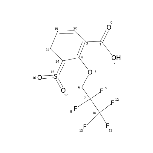 O=C(O)C1=C(OCC(F)(F)C(F)(F)F)C(=S(=O)=O)CC=C1